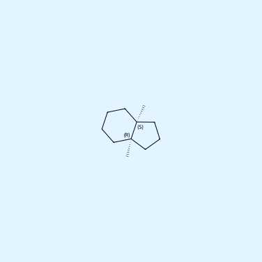 C[C@@]12CCCC[C@]1(C)CCC2